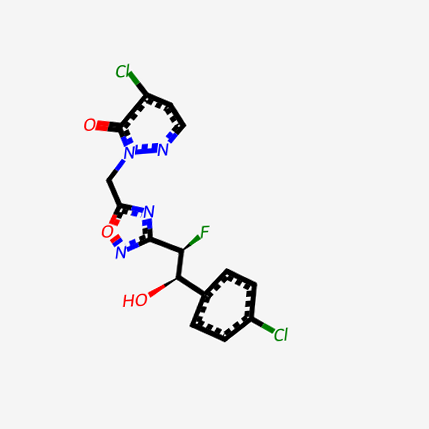 O=c1c(Cl)ccnn1Cc1nc([C@@H](F)[C@H](O)c2ccc(Cl)cc2)no1